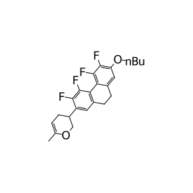 CCCCOc1cc2c(c(F)c1F)-c1c(cc(C3CC=C(C)OC3)c(F)c1F)CC2